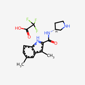 Cc1ccc2[nH]c(C(=O)N[C@@H]3CCNC3)c(C)c2c1.O=C(O)C(F)(F)F